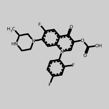 CC1CN(c2cc3c(cc2F)c(=O)c(OC(=O)O)cn3-c2ccc(F)cc2F)CCN1